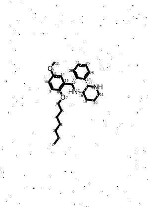 CCCCCCCOc1ccc(OC)cc1CN[C@H]1CCCN[C@H]1c1ccccc1